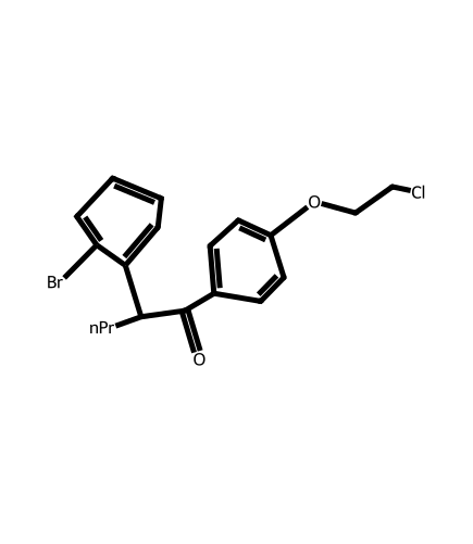 CCCC(C(=O)c1ccc(OCCCl)cc1)c1ccccc1Br